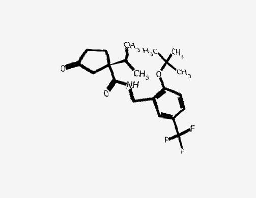 CC(C)[C@]1(C(=O)NCc2cc(C(F)(F)F)ccc2OC(C)(C)C)CCC(=O)C1